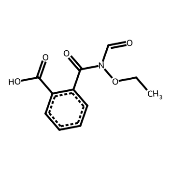 CCON(C=O)C(=O)c1ccccc1C(=O)O